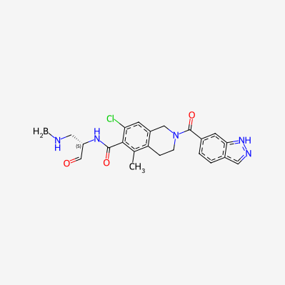 BNC[C@@H](C=O)NC(=O)c1c(Cl)cc2c(c1C)CCN(C(=O)c1ccc3cn[nH]c3c1)C2